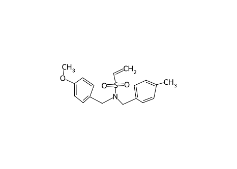 C=CS(=O)(=O)N(Cc1ccc(C)cc1)Cc1ccc(OC)cc1